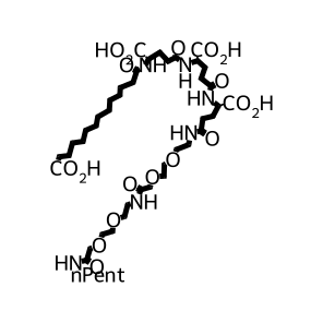 CCCCCNC(=O)COCCOCCNC(=O)COCCOCCNC(=O)CC[C@H](NC(=O)CC[C@H](NC(=O)CC[C@H](NC(=O)CCCCCCCCCCCCC(=O)O)C(=O)O)C(=O)O)C(=O)O